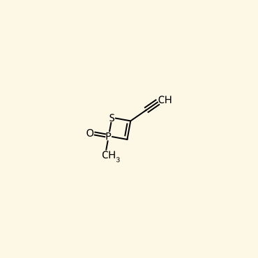 C#CC1=CP(C)(=O)S1